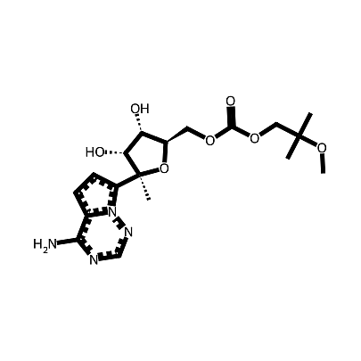 COC(C)(C)COC(=O)OC[C@H]1O[C@@](C)(c2ccc3c(N)ncnn23)[C@H](O)[C@@H]1O